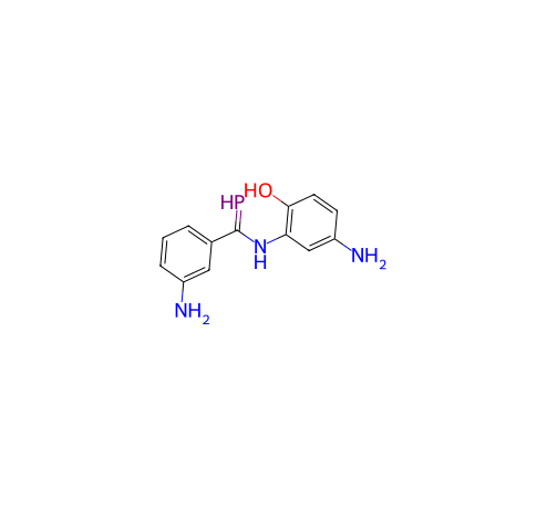 Nc1cccc(C(=P)Nc2cc(N)ccc2O)c1